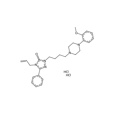 C=CCn1c(-c2ccccc2)nn(CCCCN2CCN(c3ccccc3OC)CC2)c1=O.Cl.Cl